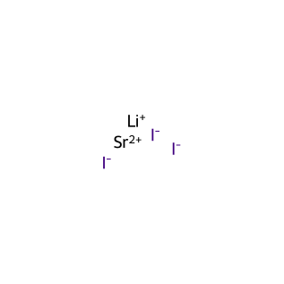 [I-].[I-].[I-].[Li+].[Sr+2]